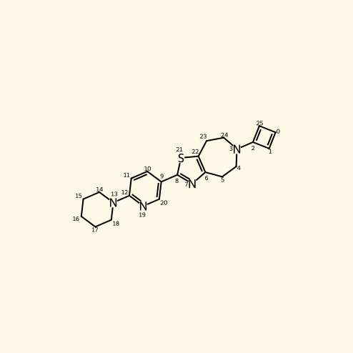 C1=CC(N2CCc3nc(-c4ccc(N5CCCCC5)nc4)sc3CC2)=C1